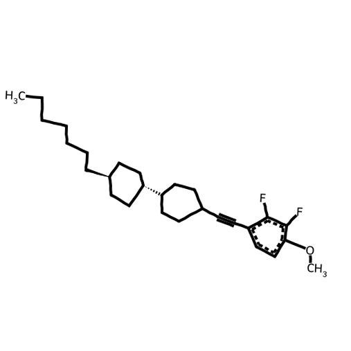 CCCCCCC[C@H]1CC[C@H](C2CCC(C#Cc3ccc(OC)c(F)c3F)CC2)CC1